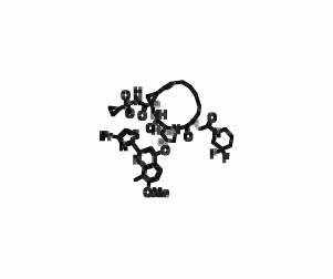 COc1ccc2c(O[C@@H]3C[C@H]4C(=O)N[C@]5(C(=O)NS(=O)(=O)C6CC6)CC5C=CCCCCC[C@H](CC(=O)N5CCCC(F)(F)C5)C(=O)N4C3)cc(-c3nc(C(C)C)cs3)nc2c1C